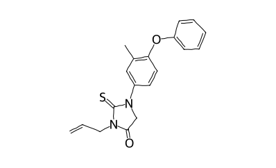 C=CCN1C(=O)CN(c2ccc(Oc3ccccc3)c(C)c2)C1=S